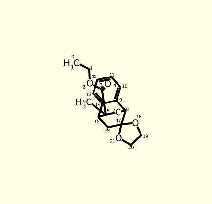 CCOC(=O)C1(C)CC2c3ccccc3C1CC21OCCO1